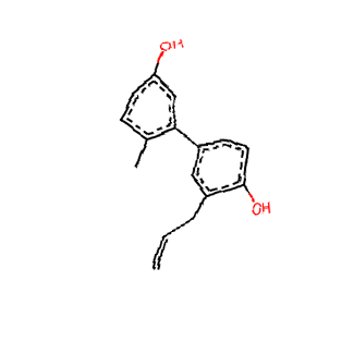 C=CCc1cc(-c2cc(O)ccc2C)ccc1O